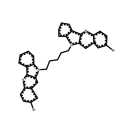 Brc1ccc2nc3c4ccccc4n(CCCCCn4c5ccccc5c5nc6ccc(Br)cc6cc54)c3cc2c1